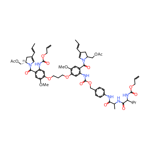 C=CCOC(=O)Nc1cc(OCCCOc2cc(NC(=O)OCc3ccc(NC(=O)C(C)NC(=O)C(NC(=O)OCC=C)C(C)C)cc3)c(C(=O)N3C=C(C=CC)CC3COC(C)=O)cc2OC)c(OC)cc1C(=O)N1C=C(C=CC)C[C@H]1COC(C)=O